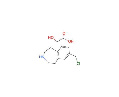 ClCc1ccc2c(c1)CCNCC2.O=C(O)CO